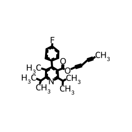 CC#CC#COC(=O)c1c(C(C)C)nc(C(C)C)c(C)c1-c1ccc(F)cc1